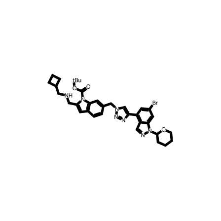 CC(C)(C)OC(=O)n1c(CNCC2CCC2)cc2ccc(Cn3cc(-c4cc(Br)cc5c4cnn5C4CCCCO4)nn3)cc21